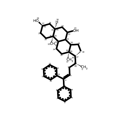 C[C@H](CC=C(c1ccccc1)c1ccccc1)[C@H]1CCC2C3C(O)C[C@@H]4C[C@H](O)CC[C@]4(C)C3CC[C@@]21C